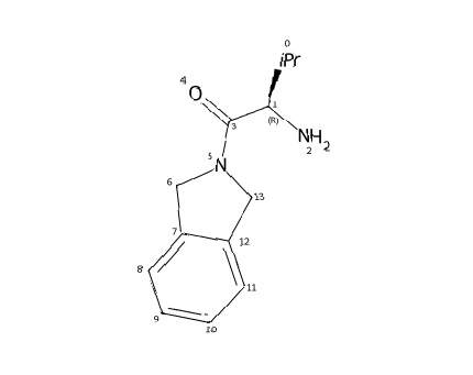 CC(C)[C@@H](N)C(=O)N1Cc2ccccc2C1